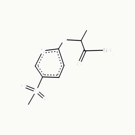 CC(Oc1ccc(S(C)(=O)=O)cn1)C(N)=O